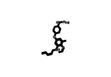 C=C/C=C\CNc1cc(OC2CCC(NCCCCC)CC2)cc(C)c1/N=C\C